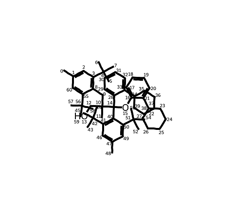 Cc1cc(C(C)(C)C)c(CC(C)(CO)C(Oc2ccccc2C2CCCCC2)(c2ccccc2C2CCCCC2)c2c(C(C)(C)C)cc(C)cc2C(C)(C)C)c(C(C)(C)C)c1